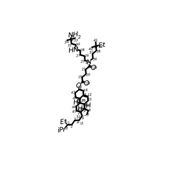 CC[C@H](CC[C@@H](C)[C@H]1CC[C@H]2[C@@H]3CC=C4C[C@@H](OC(=O)CCCC(=O)N(CCCCNCCC(C)(C)N)CCCC(C)(C)CC)CC[C@]4(C)[C@H]3CC[C@]12C)C(C)C